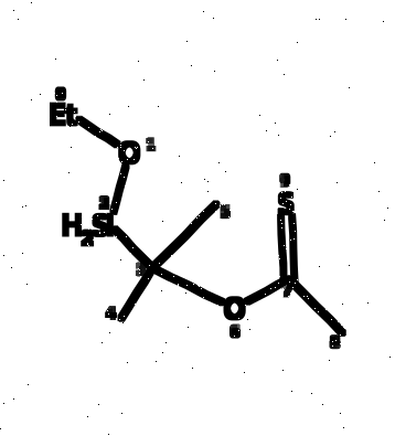 CCO[SiH2]C(C)(C)OC(C)=S